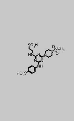 CS(=O)(=O)N1CCN(c2nc(NCCS(=O)(=O)O)nc(Nc3ccc(S(=O)(=O)O)cc3)n2)CC1